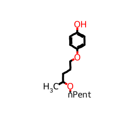 CCCCCOC(C)CCCOc1ccc(O)cc1